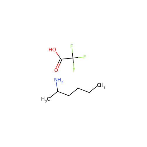 CCCCC(C)N.O=C(O)C(F)(F)F